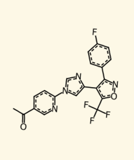 CC(=O)c1ccc(-n2cnc(-c3c(-c4ccc(F)cc4)noc3C(F)(F)F)c2)nc1